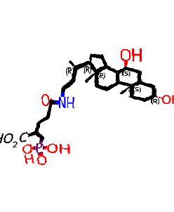 C[C@H](CCNC(=O)CCC(CP(=O)(O)O)C(=O)O)[C@H]1CCC2C3C(CC[C@@]21C)[C@@]1(C)CC[C@@H](O)CC1C[C@@H]3O